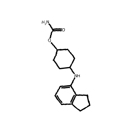 NC(=O)OC1CCC(Nc2cccc3c2CCC3)CC1